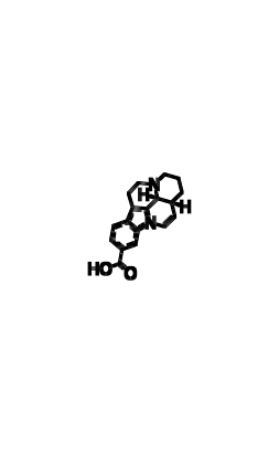 O=C(O)c1ccc2c3c4n(c2c1)C=C[C@H]1CCCN(CC3)[C@@H]41